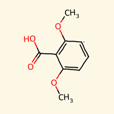 COc1[c]ccc(OC)c1C(=O)O